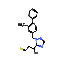 CCC(C)C(CC=S)c1ncnn1Cc1ccc(-c2ccccc2)c(C(=O)O)c1